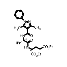 CCOC(=O)CC[C@@H](NC(=O)[C@@H](NC(=O)c1c(C)nn(-c2ccccc2)c1C)C(C)C)C(=O)OCC